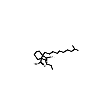 CCCCC1(C(=O)O)CCCCC1(CCCCCCCCC(C)C)C(=O)O